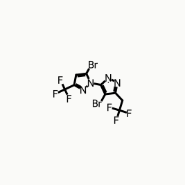 FC(F)(F)CC1=N[N]C(n2nc(C(F)(F)F)cc2Br)=C1Br